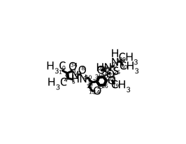 CCC1=C(C)CN(C(=O)NCC2CCOc3cc(OC)c(S(=O)(=O)NC(=S)NC(C)C)cc32)C1=O